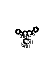 O=C(NC(Cc1c[nH]cn1)C(=O)O)C(Cc1csc2ccccc12)Cc1csc2ccccc12